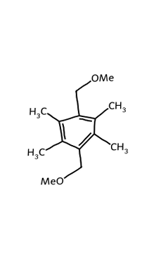 COCc1c(C)c(C)c(COC)c(C)c1C